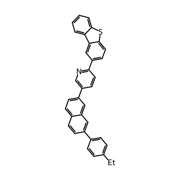 CCc1ccc(-c2ccc3ccc(-c4ccc(-c5ccc6sc7ccccc7c6c5)nc4)cc3c2)cc1